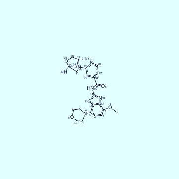 COc1ccc(N2CCOCC2)c2sc(NC(=O)c3ccnc(N4C[C@@H]5C[C@H]4CO5)c3)nc12